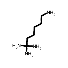 NCCCCCC(N)(N)N